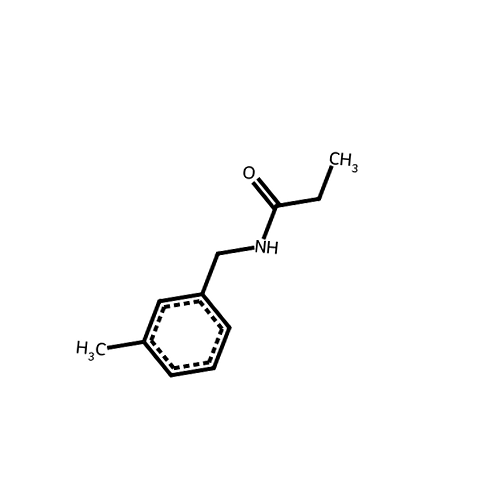 CCC(=O)NCc1cccc(C)c1